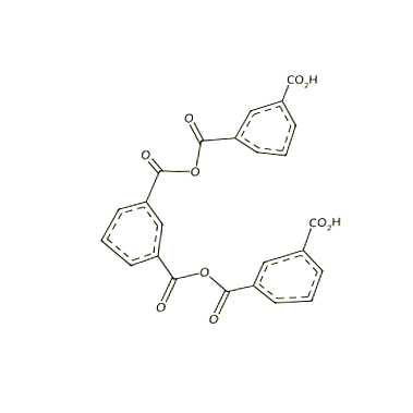 O=C(O)c1cccc(C(=O)OC(=O)c2cccc(C(=O)OC(=O)c3cccc(C(=O)O)c3)c2)c1